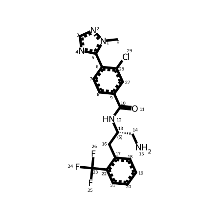 Cn1ncnc1-c1ccc(C(=O)N[C@H](CN)Cc2ccccc2C(F)(F)F)cc1Cl